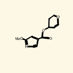 COc1cc(C(=O)OC2CCOCC2)ccn1